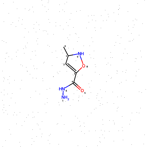 CC1C=C(C(=O)NN)ON1